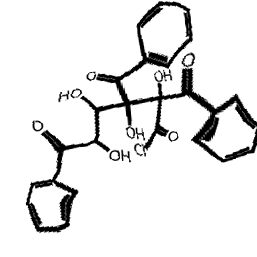 O=C(c1ccccc1)C(O)C(O)C(O)(C(=O)c1ccccc1)C(O)(C(=O)Cl)C(=O)c1ccccc1